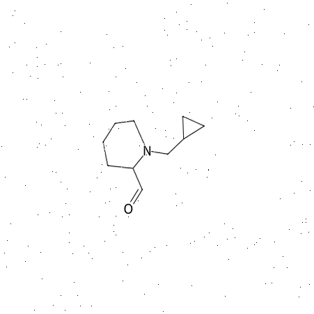 O=CC1CCCCN1CC1CC1